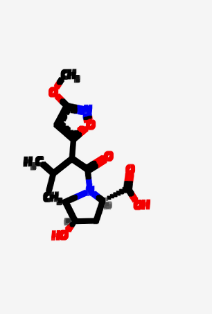 COc1cc(C(C(=O)N2C[C@H](O)C[C@H]2C(=O)O)C(C)C)on1